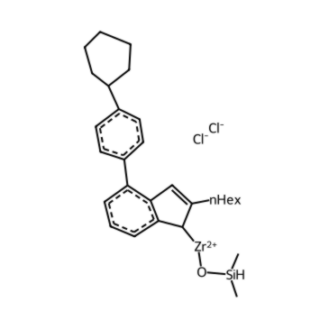 CCCCCCC1=Cc2c(-c3ccc(C4CCCCC4)cc3)cccc2[CH]1[Zr+2][O][SiH](C)C.[Cl-].[Cl-]